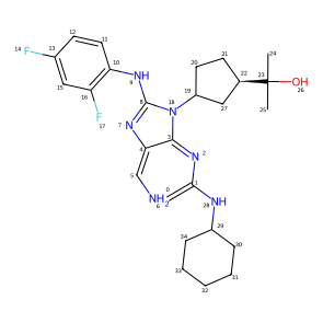 C=C(/N=C1\C(=C/N)N=C(Nc2ccc(F)cc2F)N1C1CC[C@@H](C(C)(C)O)C1)NC1CCCCC1